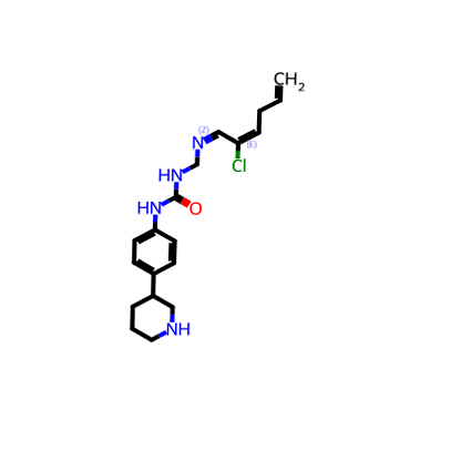 C=CC/C=C(Cl)\C=N/CNC(=O)Nc1ccc(C2CCCNC2)cc1